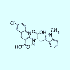 Cn1cc(C[C@H](Nc2nc3ccc(Cl)cc3cc2C(=O)O)C(=O)O)c2ccccc21